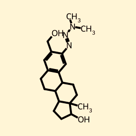 CN(C)/N=N/c1cc2c(cc1CO)CCC1C2CCC2(C)C(O)CCC12